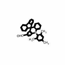 Cc1cc(C)c(N2c3ccccc3C3(c4ccccc4-c4ccccc43)c3cc(C=O)ccc32)c(C)c1